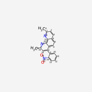 Cc1ccc2ccc3c(-c4ccccc4[N+](=O)[O-])cc(C)nc3c2n1